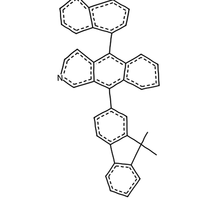 CC1(C)c2ccccc2-c2ccc(-c3c4ccccc4c(-c4cccc5ccccc45)c4ccncc34)cc21